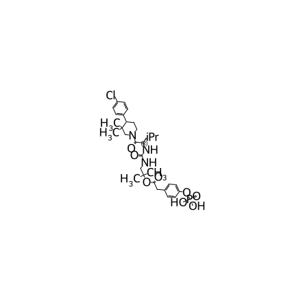 CC(C)[C@@H](NC(=O)NCC(C)(C)OC(=O)Cc1ccc(OP(=O)(O)O)cc1)C(=O)N1CCC(c2ccc(Cl)cc2)C(C)(C)C1